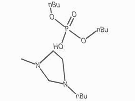 CCCCN1CCN(C)C1.CCCCOP(=O)(O)OCCCC